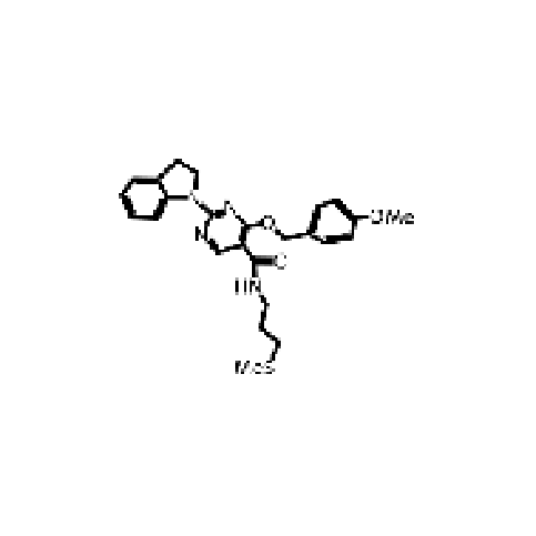 COc1ccc(COc2nc(N3CCc4ccccc43)ncc2C(=O)NCCCSC)cc1